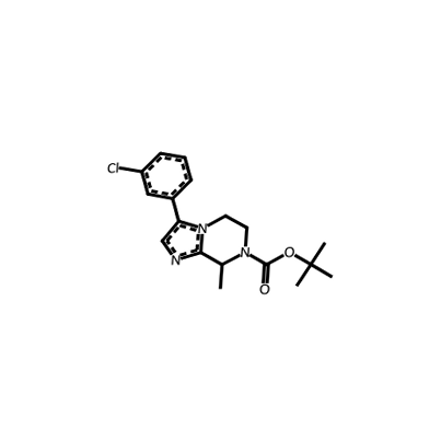 CC1c2ncc(-c3cccc(Cl)c3)n2CCN1C(=O)OC(C)(C)C